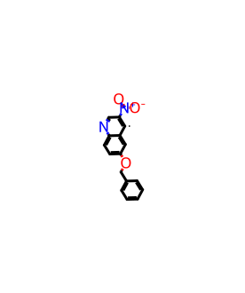 O=[N+]([O-])c1[c]c2cc(OCc3ccccc3)ccc2nc1